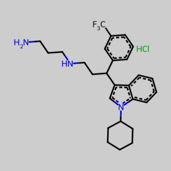 Cl.NCCCNCCC(c1cccc(C(F)(F)F)c1)c1cn(C2CCCCC2)c2ccccc12